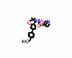 CC1(C)COc2cc(-c3ccc(CC#N)cc3)ccc2C1NC(=O)O[C@H]1CN2CCC1CC2